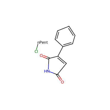 CCCCCCl.O=C1C=C(c2ccccc2)C(=O)N1